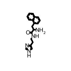 NC(Cc1cccc2ccccc12)C(=O)NCCc1c[nH]cn1